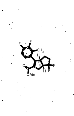 COC(=O)C1=C(c2ccc(F)c(F)c2C)[C@@H]2CCC(F)(F)[C@@H]2C1